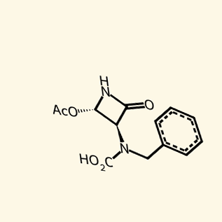 CC(=O)O[C@@H]1NC(=O)[C@H]1N(Cc1ccccc1)C(=O)O